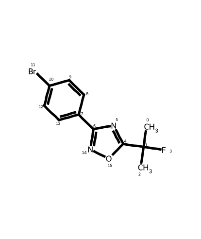 CC(C)(F)c1nc(-c2ccc(Br)cc2)no1